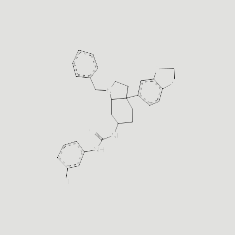 O=C(Nc1cccc(Cl)c1)NC1CCC2(c3ccc4c(c3)OCO4)CCN(Cc3ccccc3)C2C1